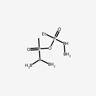 BBP(=O)(CC)OP(C)(=O)B(B)B